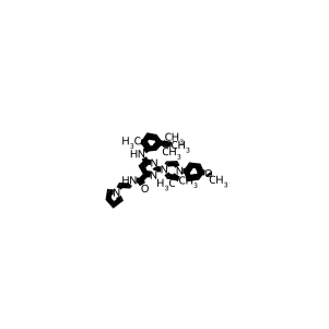 COc1ccc(N2CCN(c3nc(Nc4cc(C(C)(C)C)ccc4C)cc(C(=O)NCCN4CCCC4)n3)CC2(C)C)cc1